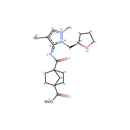 COC(=O)C12CCC(C(=O)N=c3c(C(C)(C)C)cn(C)n3C[C@H]3CCCO3)(CC1)C2